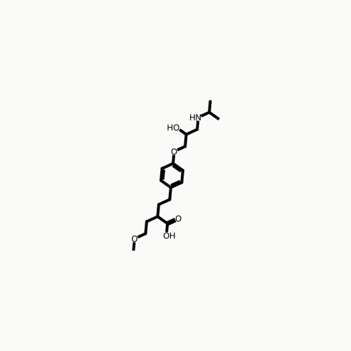 COCCC(CCc1ccc(OCC(O)CNC(C)C)cc1)C(=O)O